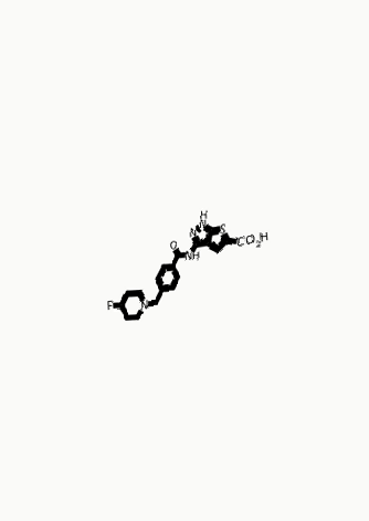 O=C(Nc1n[nH]c2sc(C(=O)O)cc12)c1ccc(CN2CCC(F)CC2)cc1